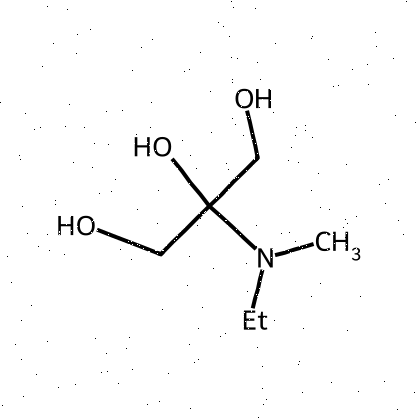 CCN(C)C(O)(CO)CO